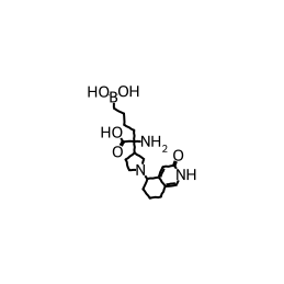 NC(CCCCB(O)O)(C(=O)O)C1CCN(C2CCCc3c[nH]c(=O)cc32)C1